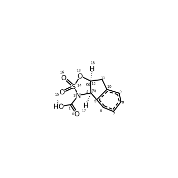 O=C(O)N1[C@@H]2c3ccccc3C[C@@H]2OS1(=O)=O